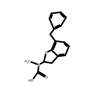 CN(C(=O)O)C1Cc2cccc(Cc3ccccc3)c2O1